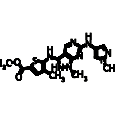 COC(=O)c1cc(C)c(NC2NN(C)c3nc(Nc4cnn(C)c4)ncc32)s1